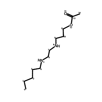 CCCCCNCCNCCCOC(C)=O